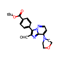 CC(C)(C)OC(=O)c1ccc(-c2c(C=O)nc3c(N4CCOCC4)ccnn23)cc1